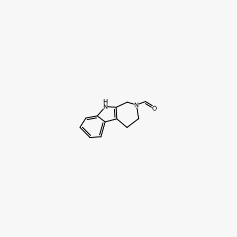 O=CN1CCc2c([nH]c3ccccc23)C1